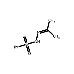 CC(C)=NNS(=O)(=O)C(C)C